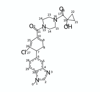 Cn1cnc2cc(C3CC=C(C(=O)N4CCN(C(=O)C5(O)CC5)CC4)C=C3Cl)ccc21